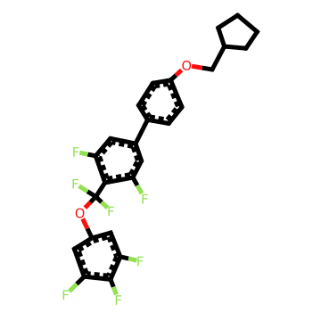 Fc1cc(OC(F)(F)c2c(F)cc(-c3ccc(OCC4CCCC4)cc3)cc2F)cc(F)c1F